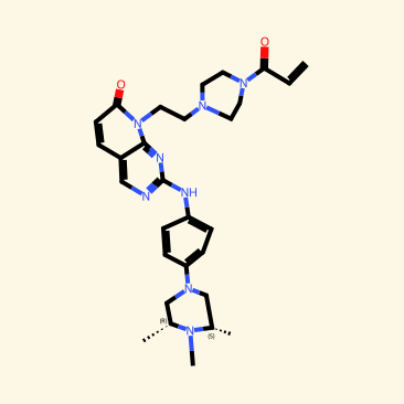 C=CC(=O)N1CCN(CCn2c(=O)ccc3cnc(Nc4ccc(N5C[C@@H](C)N(C)[C@@H](C)C5)cc4)nc32)CC1